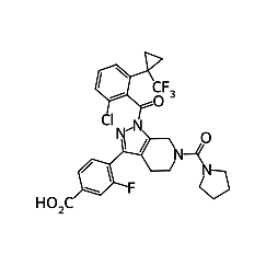 O=C(O)c1ccc(-c2nn(C(=O)c3c(Cl)cccc3C3(C(F)(F)F)CC3)c3c2CCN(C(=O)N2CCCC2)C3)c(F)c1